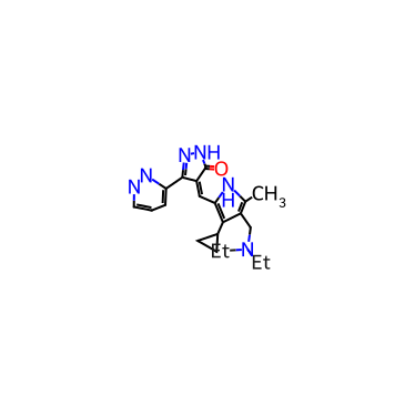 CCN(CC)Cc1c(C)[nH]c(C=C2C(=O)NN=C2c2cccnn2)c1C1CC1